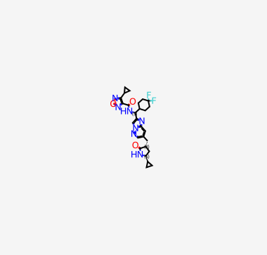 O=C(N[C@H](c1cn2ncc(C[C@@H]3C[C@@H](C4CC4)NC3=O)cc2n1)C1CCC(F)(F)CC1)c1nonc1C1CC1